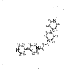 c1cc(-c2cc[n+](CCC[n+]3ccc(-c4ccncc4)cc3)cc2)ccn1